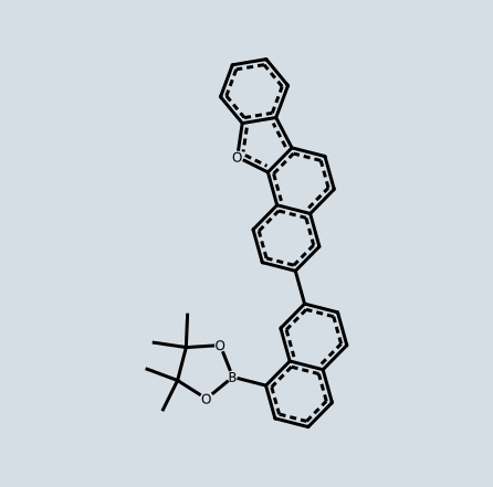 CC1(C)OB(c2cccc3ccc(-c4ccc5c(ccc6c7ccccc7oc56)c4)cc23)OC1(C)C